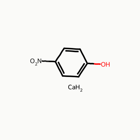 O=[N+]([O-])c1ccc(O)cc1.[CaH2]